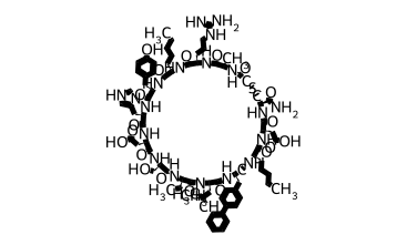 CCCCC[C@@H]1NC[C@H](Cc2ccc(-c3ccccc3)cc2)NC(=O)[C@H](CC(C)C)NC(=O)[C@H](C(C)C)NC(=O)[C@H](CO)NC(=O)[C@H](CC(=O)O)NC(=O)[C@H](Cc2c[nH]cn2)NC(=O)[C@H](Cc2ccc(O)cc2)NC(=O)[C@H](CCCCC)NC(=O)[C@H](CCCNC(=N)N)NC(=O)[C@H](C)NC(=O)CSC[C@@H](C(N)=O)NC(=O)[C@H](CC(=O)O)NC1=O